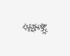 O=C(Nc1ncnc2c1ncn2C(=O)C[C@H](CO)OC(=O)c1ccccc1)c1ccccc1